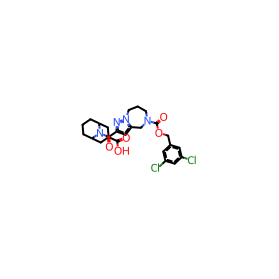 O=C(O)C1CC2CCCC(C1)N2C(=O)c1cc2n(n1)CCCN(C(=O)OCc1cc(Cl)cc(Cl)c1)C2